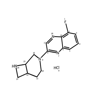 Cl.Fc1cccc2nc(N3CCC4CNC4C3)cnc12